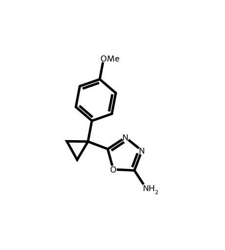 COc1ccc(C2(c3nnc(N)o3)CC2)cc1